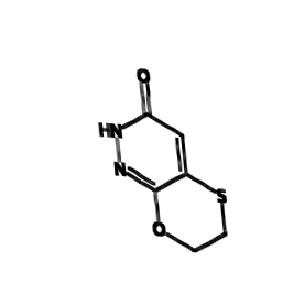 O=c1cc2c(n[nH]1)OCCS2